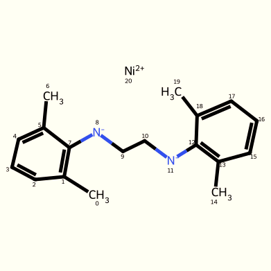 Cc1cccc(C)c1[N-]CC[N-]c1c(C)cccc1C.[Ni+2]